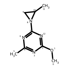 COc1nc(C)nc(N2CC2C)n1